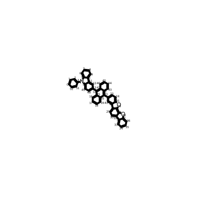 c1ccc(-n2c3ccccc3c3cc(-c4c5ccccc5c(-c5ccc6oc7c(ccc8c9ccccc9oc87)c6c5)c5ccccc45)ccc32)cc1